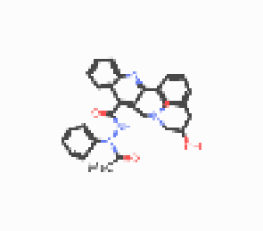 COC(=O)N(NC(=O)c1c(CN2CCCC(O)C2)c(-c2ccccc2)nc2ccccc12)c1ccccc1